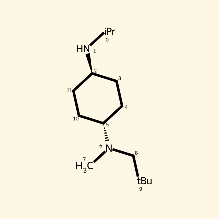 CC(C)N[C@H]1CC[C@H](N(C)CC(C)(C)C)CC1